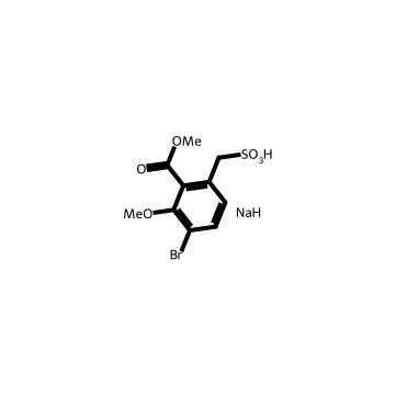 COC(=O)c1c(CS(=O)(=O)O)ccc(Br)c1OC.[NaH]